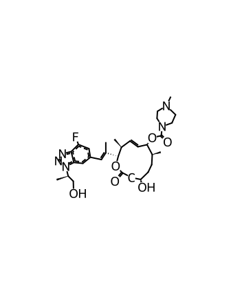 C/C(=C\c1cc(F)c2nnn([C@H](C)CO)c2c1)[C@H]1OC(=O)C[C@H](O)CC[C@H](C)[C@@H](OC(=O)N2CCN(C)CC2)/C=C/[C@@H]1C